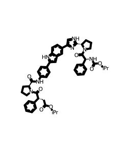 CC(C)OC(=O)C[C@@H](C(=O)N1CCC[C@H]1C(=O)Nc1ccc(-c2cc3cc(-c4c[nH]c([C@@H]5CCCN5C(=O)[C@H](NC(=O)OC(C)C)c5ccccc5)n4)ccc3[nH]2)cc1)c1ccccc1